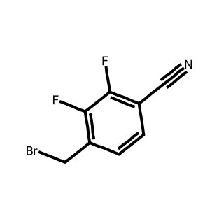 N#Cc1ccc(CBr)c(F)c1F